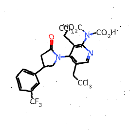 O=C1CC(c2cccc(C(F)(F)F)c2)CN1c1c(CC(Cl)(Cl)Cl)cnc(N(C(=O)O)C(=O)O)c1CC(Cl)(Cl)Cl